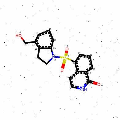 O=c1[nH]ccc2c(S(=O)(=O)N3CCc4c(CO)cccc43)cccc12